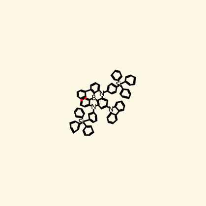 c1ccc(-c2cccc3c2B2c4ccccc4N(c4cccc([Si](c5ccccc5)(c5ccccc5)c5ccccc5)c4)c4cc(-n5c6ccccc6c6ccccc65)cc(c42)N3c2ccc([Si](c3ccccc3)(c3ccccc3)c3ccccc3)cc2)cc1